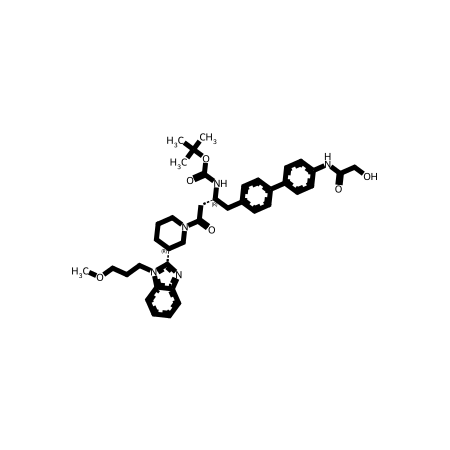 COCCCn1c([C@@H]2CCCN(C(=O)C[C@@H](Cc3ccc(-c4ccc(NC(=O)CO)cc4)cc3)NC(=O)OC(C)(C)C)C2)nc2ccccc21